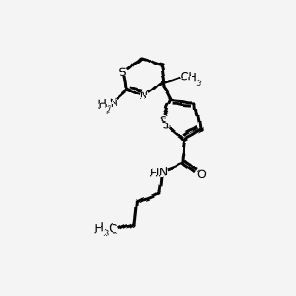 CCCCNC(=O)c1ccc(C2(C)CCSC(N)=N2)s1